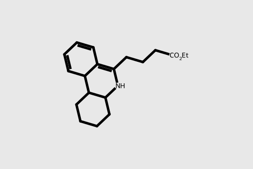 CCOC(=O)CCCC1=C2C=CC=CC2C2CCCCC2N1